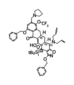 C=CCN(CC=C)[C@@H]1c2onc(OCc3ccccc3)c2C(=O)C2(O[Si](C)(C)C(C)(C)C)C(O)=C3C(=O)c4c(OCc5ccccc5)cc(CN5CCCC5)c(OC(F)(F)F)c4C[C@H]3C[C@@H]12